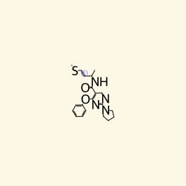 CS/C=C/C(C)NC(=O)c1cnc(N2CCCC2)nc1Oc1ccccc1